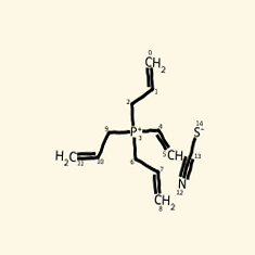 C=CC[P+](C=C)(CC=C)CC=C.N#C[S-]